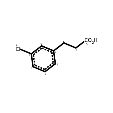 O=C(O)CCc1cccc(Cl)c1